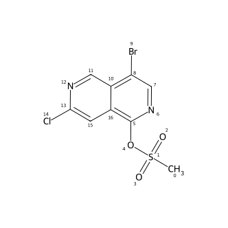 CS(=O)(=O)Oc1ncc(Br)c2cnc(Cl)cc12